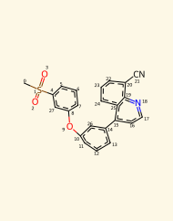 CS(=O)(=O)c1cccc(Oc2cccc(-c3ccnc4c(C#N)cccc34)c2)c1